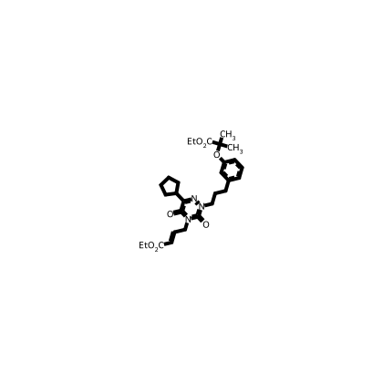 CCOC(=O)C=CCn1c(=O)c(C2CCCC2)nn(CCCc2cccc(OC(C)(C)C(=O)OCC)c2)c1=O